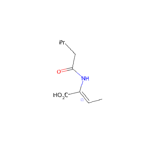 C/C=C(\NC(=O)CC(C)C)C(=O)O